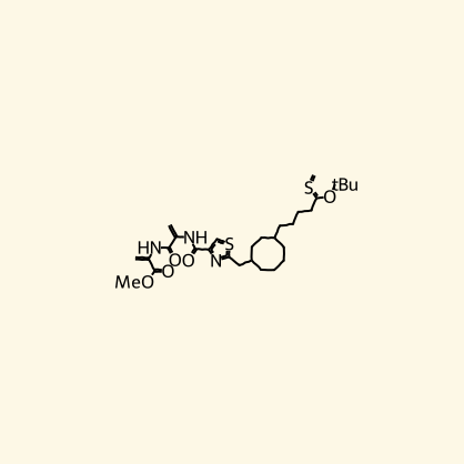 C=S=C(CCCCC1CCCCC(Cc2nc(C(=O)NC(=C)C(=O)NC(=C)C(=O)OC)cs2)CC1)OC(C)(C)C